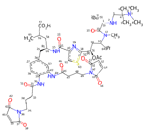 CC[C@H](C)[C@H](NCC(C)(C)N(C)C)C(=O)N(C)C(C[C@@H](OC(C)=O)c1nc(C(=O)N[C@@H](Cc2ccc(NC(=O)CCCN3C(=O)C=CC3=O)c(NC(=O)CCCN3C(=O)C=CC3=O)c2)CC(C)C(=O)O)cs1)C(C)C